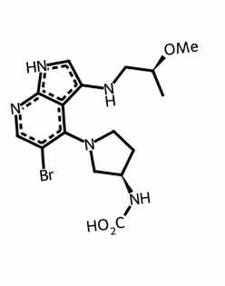 CO[C@@H](C)CNc1c[nH]c2ncc(Br)c(N3CC[C@@H](NC(=O)O)C3)c12